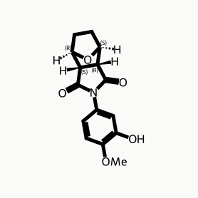 COc1ccc(N2C(=O)[C@@H]3[C@H](C2=O)[C@H]2CC[C@@H]3O2)cc1O